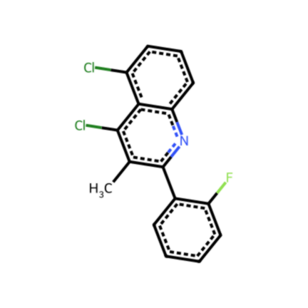 Cc1c(-c2ccccc2F)nc2cccc(Cl)c2c1Cl